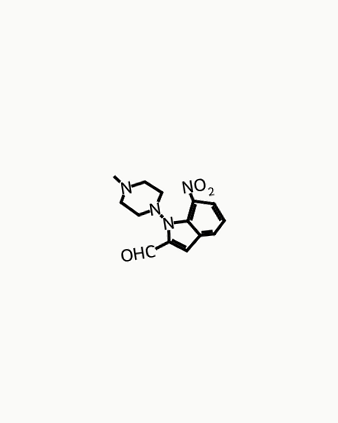 CN1CCN(n2c(C=O)cc3cccc([N+](=O)[O-])c32)CC1